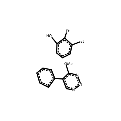 CCc1cccc(O)c1CC.COc1nnncc1-c1ccccc1